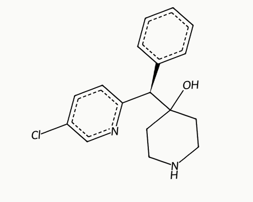 OC1([C@H](c2ccccc2)c2ccc(Cl)cn2)CCNCC1